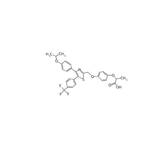 CC(C)Oc1ccc(-c2nc(COc3ccc(OC(C)C(=O)O)cc3)sc2-c2ccc(C(F)(F)F)cc2)cc1